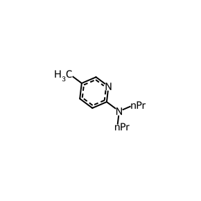 CCCN(CCC)c1ccc(C)cn1